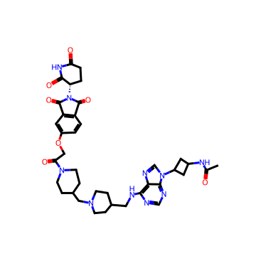 CC(=O)NC1CC(n2cnc3c(NCC4CCN(CC5CCN(C(=O)COc6ccc7c(c6)C(=O)N([C@H]6CCC(=O)NC6=O)C7=O)CC5)CC4)ncnc32)C1